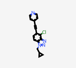 Clc1c(C#Cc2ccncc2)ccc2c1nnn2CC1CC1